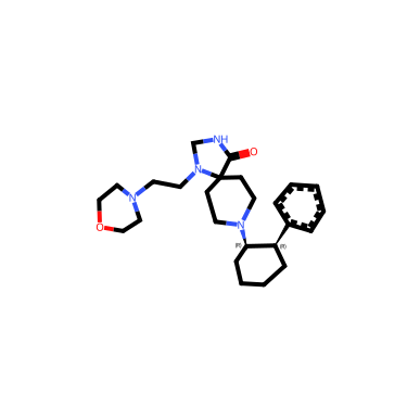 O=C1NCN(CCN2CCOCC2)C12CCN([C@@H]1CCCC[C@@H]1c1ccccc1)CC2